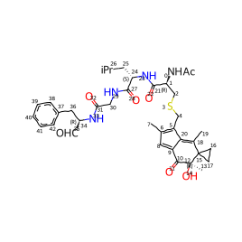 CC(=O)N[C@@H](CSCC1=C(C)C=C2C(=O)[C@](C)(O)C3(CC3)C(C)=C21)C(=O)N[C@@H](CC(C)C)C(=O)NCC(=O)N[C@@H](C=O)Cc1ccccc1